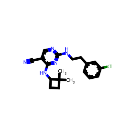 CC1(C)CCC1Nc1nc(NCCc2cccc(Cl)c2)ncc1C#N